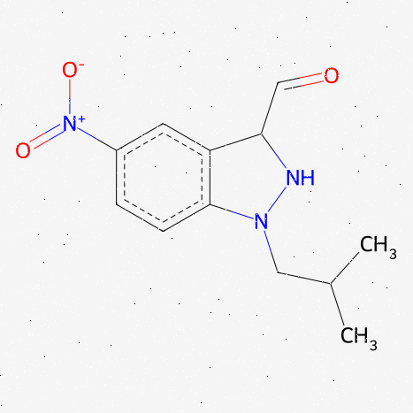 CC(C)CN1NC(C=O)c2cc([N+](=O)[O-])ccc21